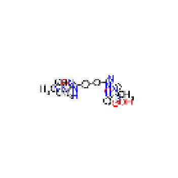 CC(C(=O)N1CCC[C@H]1c1ncc(-c2ccc(-c3ccc(-c4cnc([C@@H]5CCCN5C(=O)[C@@H](c5ccccc5)N(C)C(=O)O)[nH]4)cc3)cc2)[nH]1)N(C)C